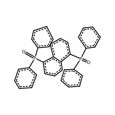 O=P(c1ccccc1)(c1ccccc1)c1cccc2c(P(=O)(c3ccccc3)c3ccccc3)cccc12